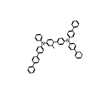 CC1C=C(N(c2ccccc2)c2ccc(-c3ccc(-c4ccccc4)cc3)cc2)C=CC1c1ccc(N(c2ccc(C3=CC=CCC3)cc2)c2ccc(-c3ccccc3)cc2)cc1